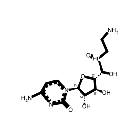 NCC[PH](=O)C(O)[C@H]1O[C@H](n2ccc(N)nc2=O)[C@@H](O)[C@@H]1O